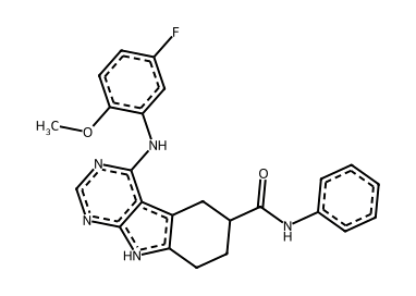 COc1ccc(F)cc1Nc1ncnc2[nH]c3c(c12)CC(C(=O)Nc1ccccc1)CC3